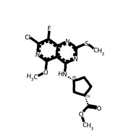 COC(=O)[C@H]1CC[C@@H](Nc2nc(SC)nc3c(F)c(Cl)nc(OC)c23)C1